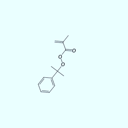 C=C(C)C(=O)OOC(C)(C)c1ccccc1